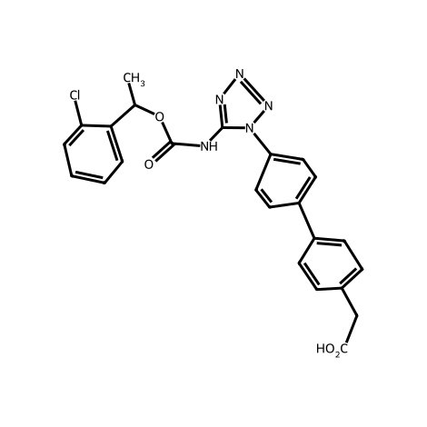 CC(OC(=O)Nc1nnnn1-c1ccc(-c2ccc(CC(=O)O)cc2)cc1)c1ccccc1Cl